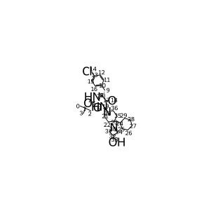 CC(C)(C)OC(=O)N[C@H](Cc1ccc(Cl)cc1)C(=O)NN1CCC(C2CCCCC2)(N2CC(O)C2)CC1